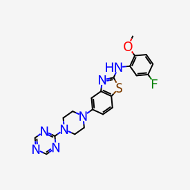 COc1ccc(F)cc1Nc1nc2cc(N3CCN(c4ncncn4)CC3)ccc2s1